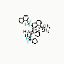 C[Si](C)(C)c1cccc2ccccc12.C[Si](C)(C)c1ccccc1.F[Si](F)(F)c1cccc2ccccc12.F[Si](F)(F)c1ccccc1